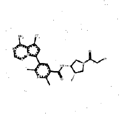 Cc1nc(C)c(-c2cc(C(F)(F)F)c3c(N)ncnn23)cc1C(=O)N[C@@H]1CN(C(=O)CC(C)C)C[C@@H]1F